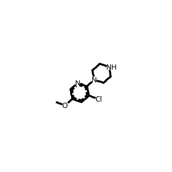 COc1cnc(N2CCNCC2)c(Cl)c1